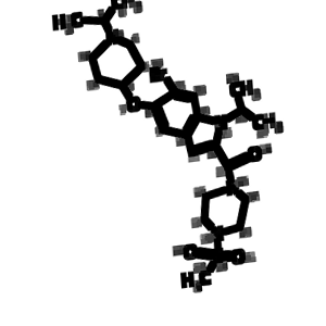 CC(C)N1CCC(Oc2cc3cc(C(=O)N4CCN(S(C)(=O)=O)CC4)n(C(C)C)c3cc2Br)CC1